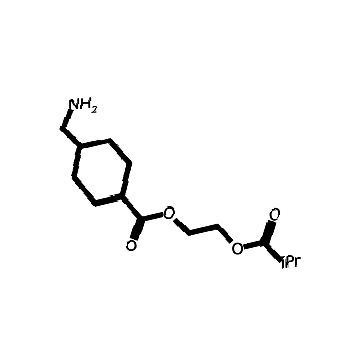 CC(C)C(=O)OCCOC(=O)C1CCC(CN)CC1